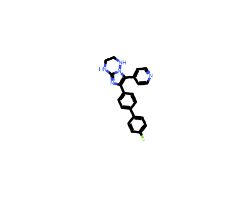 Fc1ccc(-c2ccc(-c3nc4n(c3-c3ccncc3)NCCN4)cc2)cc1